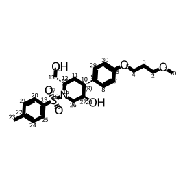 COCCCOc1ccc([C@H]2C[C@@H](CO)N(S(=O)(=O)c3ccc(C)cc3)C[C@@H]2O)cc1